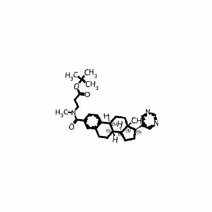 CN(CCC(=O)OC(C)(C)C)C(=O)c1ccc2c(c1)CC[C@@H]1[C@@H]2CC[C@]2(C)[C@@H](c3cncnc3)CC[C@@H]12